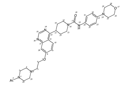 CC(=O)N1CCN(CCOc2ccc3c(C4CCN(C(=O)Nc5ccc(N6CCOCC6)cc5)CC4)ncnc3c2)CC1